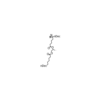 [CH2]C(COC(=O)CCCCCCCCCCCCCCC)OC(=O)CCCCC1(CCCCCCCCCC)N=N1